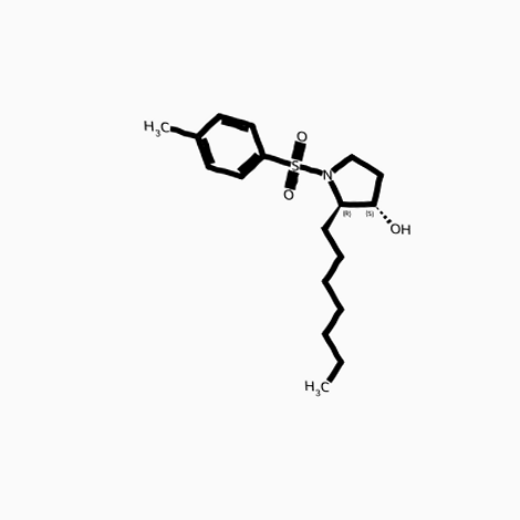 CCCCCCC[C@@H]1[C@@H](O)CCN1S(=O)(=O)c1ccc(C)cc1